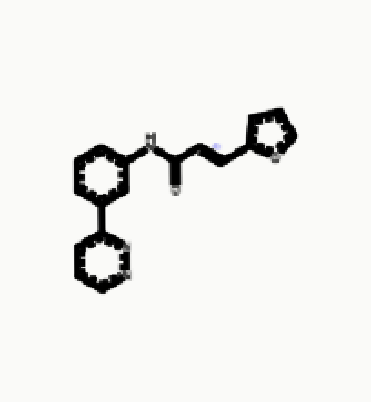 O=C(/C=C/c1ccco1)Nc1cccc(-c2cccnn2)c1